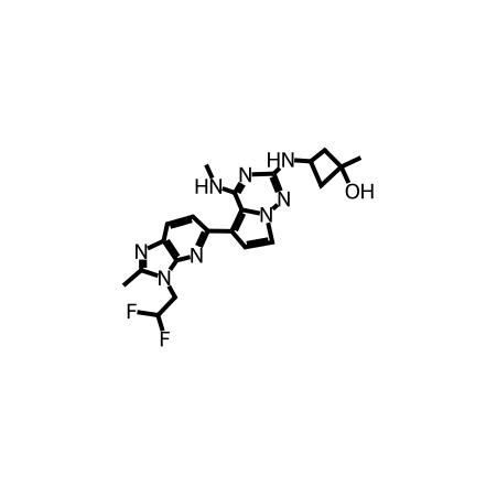 CNc1nc(NC2CC(C)(O)C2)nn2ccc(-c3ccc4nc(C)n(CC(F)F)c4n3)c12